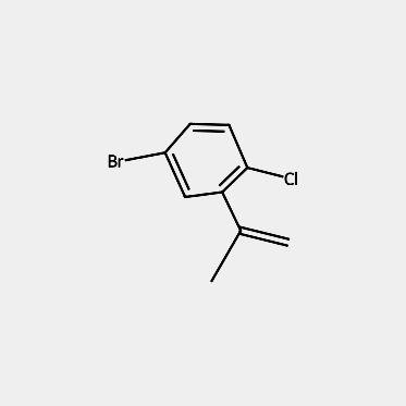 C=C(C)c1cc(Br)ccc1Cl